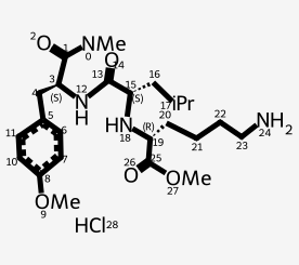 CNC(=O)[C@H](Cc1ccc(OC)cc1)NC(=O)[C@H](CC(C)C)N[C@H](CCCCN)C(=O)OC.Cl